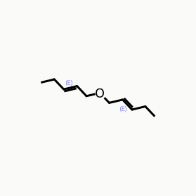 CC/C=C/COC/C=C/CC